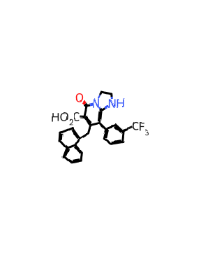 O=C(O)c1c(Cc2cccc3ccccc23)c(-c2cccc(C(F)(F)F)c2)c2n(c1=O)CCN2